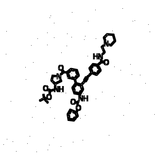 CC(C)(C)OC(=O)NC1CCN(C(=O)c2cccc(-c3ccc(NC(=O)Oc4ccccc4)cc3C#Cc3ccc(C(=O)NCCN4CCCCC4)cc3)c2)C1